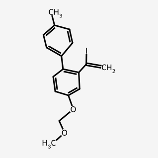 C=C(I)c1cc(OCOC)ccc1-c1ccc(C)cc1